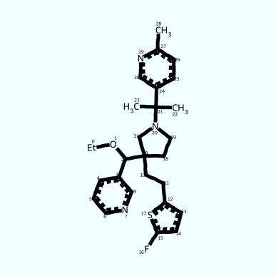 CCOC(c1cccnc1)C1(CCc2ccc(F)s2)CCN(C(C)(C)c2ccc(C)nc2)C1